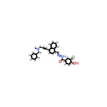 CN(CC#Cc1ccc(/C=N/NC(=O)c2ccc(O)c(Cl)c2)c2ccccc12)Cc1ccccc1